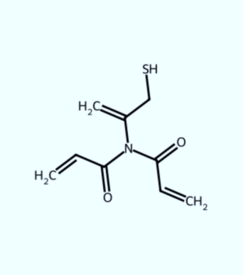 C=CC(=O)N(C(=C)CS)C(=O)C=C